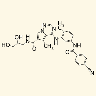 Cc1ccc(NC(=O)c2ccc(C#N)cc2)cc1Nc1ncnn2cc(C(=O)NCC(O)CO)c(C)c12